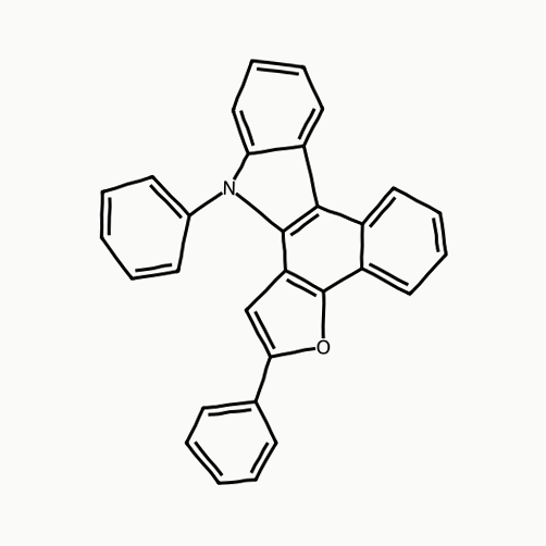 c1ccc(-c2cc3c(o2)c2ccccc2c2c4ccccc4n(-c4ccccc4)c32)cc1